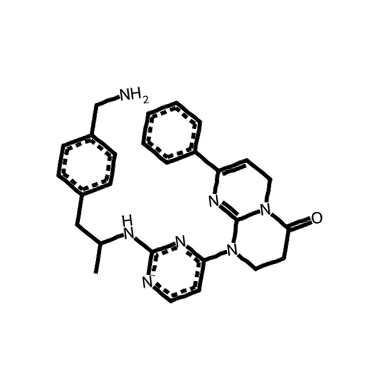 CC(Cc1ccc(CN)cc1)Nc1nccc(N2CCC(=O)N3CC=C(c4ccccc4)N=C32)n1